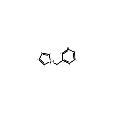 [c]1ccc(C[SH]2C=CC=C2)cc1